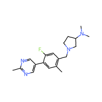 Cc1ncc(-c2cc(C)c(CN3CCC(N(C)C)C3)cc2F)cn1